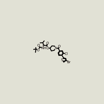 CC(C)[C@H](NC(=O)OC(C)(C)C)C(=O)OC1CCN(C(=O)c2ccc(-c3cc(Br)cs3)c(Cl)c2)CC1